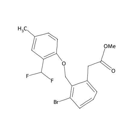 COC(=O)Cc1cccc(Br)c1COc1ccc(C)cc1C(F)F